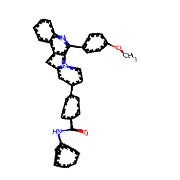 COc1ccc(-c2nc3ccccc3c3cc4cc(-c5ccc(C(=O)Nc6ccccc6)cc5)ccn4c23)cc1